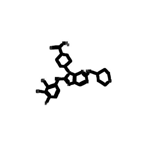 NC(=O)C1CCC(n2c(Nc3ccc(F)c(Cl)c3Cl)nc3cnc(NC4CCOCC4)nc32)CC1